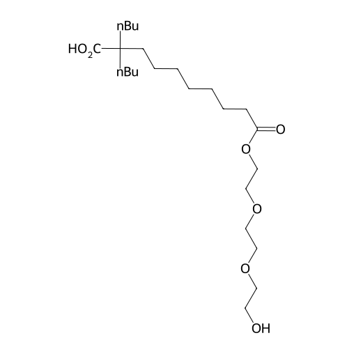 CCCCC(CCCC)(CCCCCCCC(=O)OCCOCCOCCO)C(=O)O